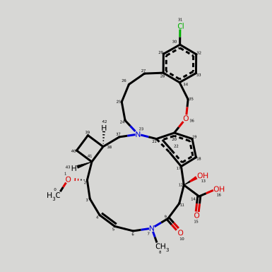 CO[C@H]1C/C=C\CN(C)C(=O)C[C@@](O)(C(=O)O)c2ccc3c(c2)N(CCCCc2cc(Cl)ccc2CO3)C[C@@H]2CC[C@H]21